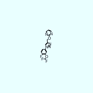 Fc1ccc(-n2cc(COc3ncccn3)nn2)cc1OC(F)F